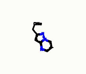 COCc1cc2nc[c]cn2n1